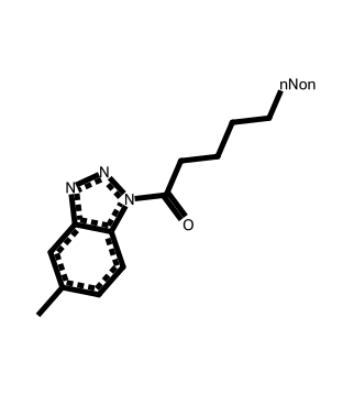 CCCCCCCCCCCCCC(=O)n1nnc2cc(C)ccc21